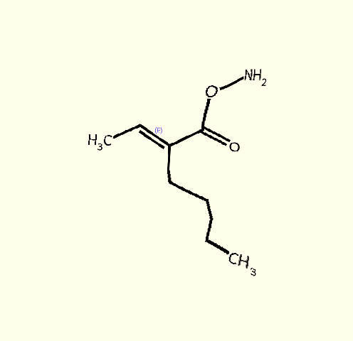 C/C=C(\CCCC)C(=O)ON